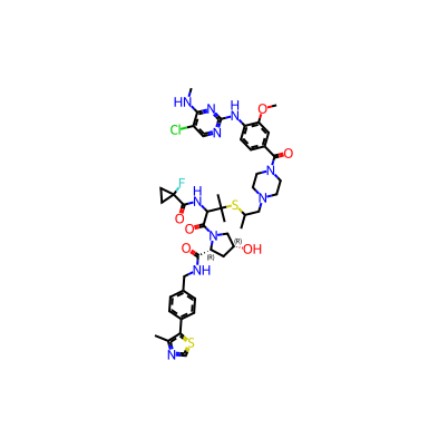 CNc1nc(Nc2ccc(C(=O)N3CCN(CC(C)SC(C)(C)C(NC(=O)C4(F)CC4)C(=O)N4C[C@H](O)C[C@@H]4C(=O)NCc4ccc(-c5scnc5C)cc4)CC3)cc2OC)ncc1Cl